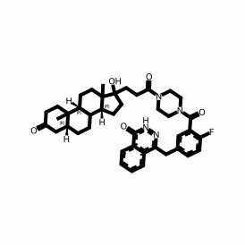 CC12CCC(=O)C[C@H]1CCC1[C@H]2CCC2(C)[C@@H]1CCC2(O)CCC(=O)N1CCN(C(=O)c2cc(Cc3n[nH]c(=O)c4ccccc34)ccc2F)CC1